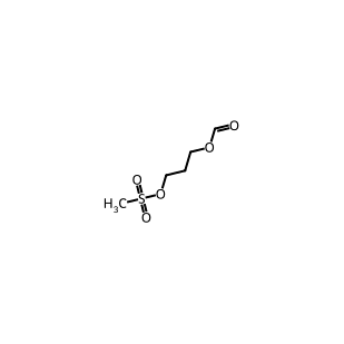 CS(=O)(=O)OCCCOC=O